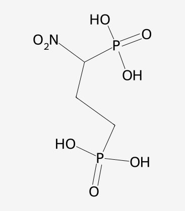 O=[N+]([O-])C(CCP(=O)(O)O)P(=O)(O)O